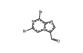 O=Cc1cnc2c(Br)nc(Br)cn12